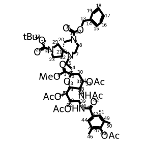 COC(=O)[C@@]1(CCN2CCN(C(=O)OCc3ccccc3)C[C@@]23CCN(C(=O)OC(C)(C)C)C3)C[C@H](OC(C)=O)[C@@H](NC(C)=O)[C@H]([C@H](OC(C)=O)[C@@H](CNC(=O)c2cc(C)c(OC(C)=O)c(C)c2)OC(C)=O)O1